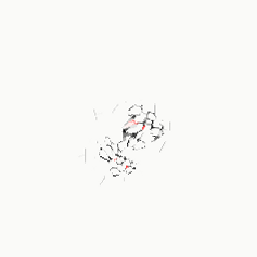 Cc1cc(C)c(-c2cccc(-c3c(C)cc(C)cc3C)c2-c2ccc3c4c5c6ccccc6n6c7cc(-c8c(-c9c(C)cc(C)cc9C)cccc8-c8c(C)cc(C)cc8C)ccc7c(c7c8ccccc8n(c3c2)c74)c56)c(C)c1